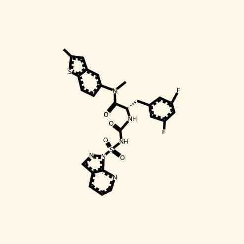 Cc1cc2cc(N(C)C(=O)[C@H](Cc3cc(F)cc(F)c3)NC(=O)NS(=O)(=O)n3ncc4cccnc43)ccc2s1